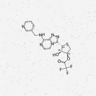 O=C(O[C@@H]1CS[C@@H](c2nnc3c(NCc4cccnc4)nccn23)[C@@H]1O)C(F)(F)F